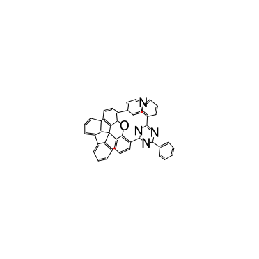 c1ccc(-c2nc(-c3ccccc3)nc(-c3cccc4c3Oc3c(-c5ccncc5)cccc3C43c4ccccc4-c4ccccc43)n2)cc1